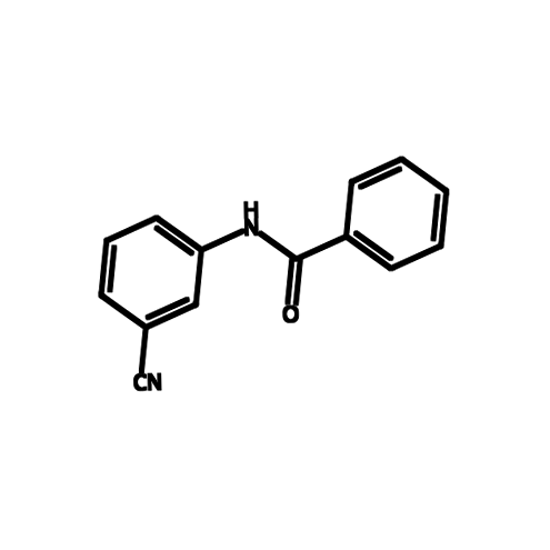 N#Cc1cccc(NC(=O)c2ccccc2)c1